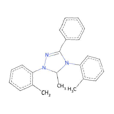 Cc1ccccc1N1N=C(c2ccccc2)N(c2ccccc2C)C1C